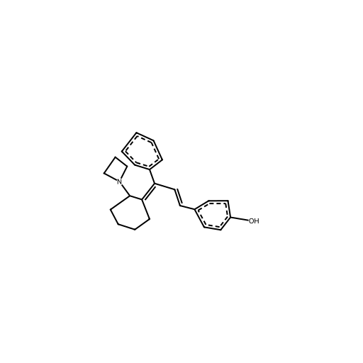 Oc1ccc(C=CC(=C2CCCCC2N2CCC2)c2ccccc2)cc1